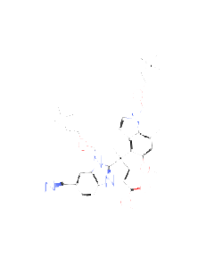 COC(=O)C=CC(C)(c1c(OC)cc(C)c2c1ccn2COCC[Si](C)(C)C)c1nc2ccc(C#N)cc2n1COCC[Si](C)(C)C